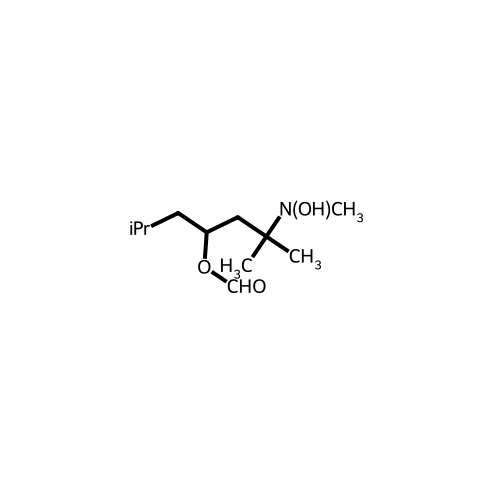 CC(C)CC(CC(C)(C)N(C)O)OC=O